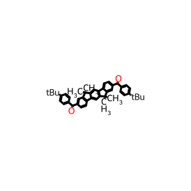 CC(C)(C)c1ccc(C(=O)c2ccc3c(c2)C(C)(C)c2cc4c(cc2-3)C(C)(C)c2cc(C(=O)c3ccc(C(C)(C)C)cc3)ccc2-4)cc1